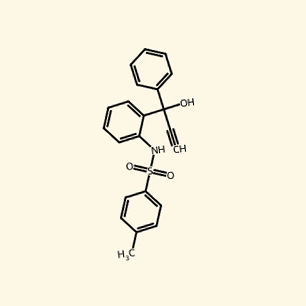 C#CC(O)(c1ccccc1)c1ccccc1NS(=O)(=O)c1ccc(C)cc1